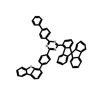 c1ccc(-c2ccc(-c3nc(-c4ccc(-c5cccc6c5sc5ccccc56)cc4)nc(-c4cccc5c4-c4ccccc4C54c5ccccc5-c5ccccc54)n3)cc2)cc1